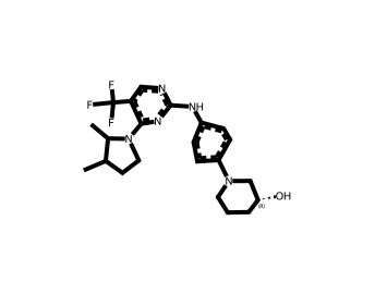 CC1CCN(c2nc(Nc3ccc(N4CCC[C@@H](O)C4)cc3)ncc2C(F)(F)F)C1C